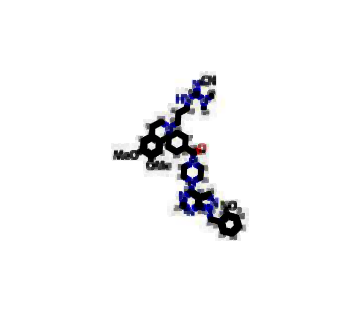 COc1cc2c(cc1OC)C1(CCC(C(=O)N3CCN(c4ncnc5c4cnn5Cc4ccccc4[N+](=O)[O-])CC3)CC1)N(CCCNC(=NC#N)N(C)C)CC2